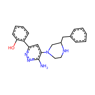 Nc1nnc(-c2ccccc2O)cc1N1CCNC(Cc2ccccc2)C1